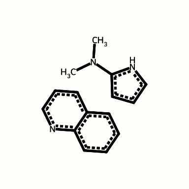 CN(C)c1ccc[nH]1.c1ccc2ncccc2c1